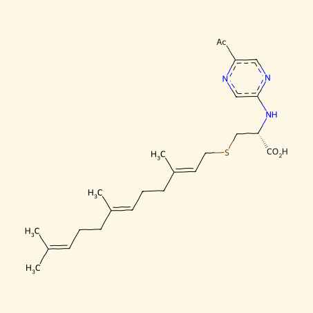 CC(=O)c1cnc(N[C@@H](CSC/C=C(\C)CC/C=C(\C)CCC=C(C)C)C(=O)O)cn1